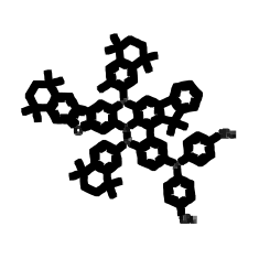 Cc1cc2c(cc1N1c3cc4c(cc3B3c5c1cc1c(c5-c5cc(N(c6ccc(C(C)(C)C)cc6)c6ccc(C(C)(C)C)cc6)ccc5N3c3ccc5c(c3)C(C)(C)CCC5(C)C)C(C)(C)c3ccccc3-1)oc1cc3c(cc14)C(C)(C)CCC3(C)C)C(C)(C)CCC2(C)C